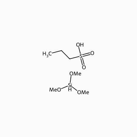 CCCS(=O)(=O)O.CO[SiH](OC)OC